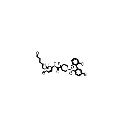 C[C@H](/C=C\S(=O)(=O)CCCCC=O)NC(=O)C1(F)CCN(S(=O)(=O)c2ccc(Br)cc2-c2ccccc2Cl)CC1